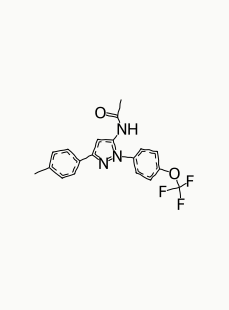 CC(=O)Nc1cc(-c2ccc(C)cc2)nn1-c1ccc(OC(F)(F)F)cc1